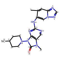 Cc1cc2ncnn2cc1Nc1ncc2c(n1)n(N1CCC(C#N)CC1)c(=O)n2C